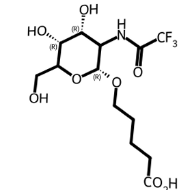 O=C(O)CCCCO[C@@H]1OC(CO)[C@H](O)[C@H](O)C1NC(=O)C(F)(F)F